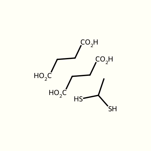 CC(S)S.O=C(O)CCC(=O)O.O=C(O)CCC(=O)O